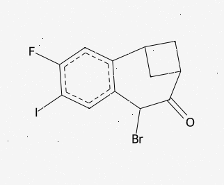 O=C1C2CC(C2)c2cc(F)c(I)cc2C1Br